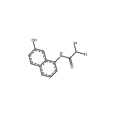 CCC(C(=O)Nc1cccc2ccc(O)cc12)C(C)C